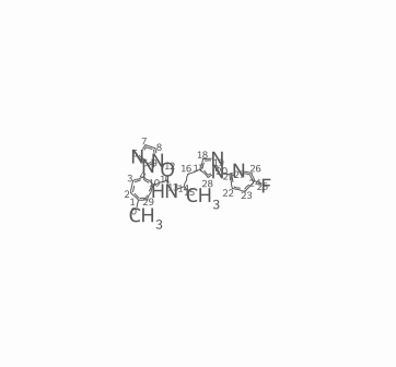 Cc1ccc(-n2nccn2)c(C(=O)NC(C)Cc2cnn(-c3ccc(F)cn3)c2)c1